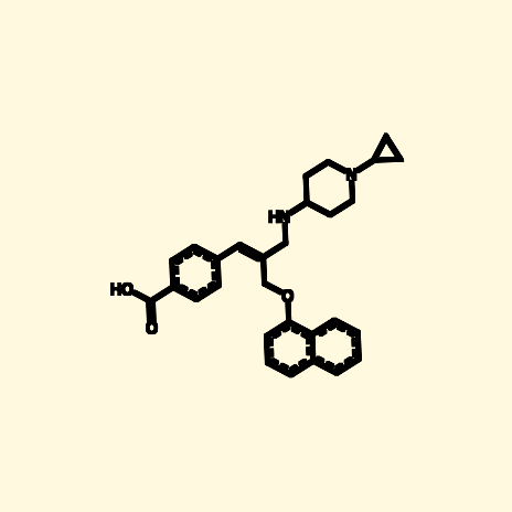 O=C(O)c1ccc(/C=C(/CNC2CCN(C3CC3)CC2)COc2cccc3ccccc23)cc1